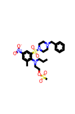 CCCN(CCOS(C)(=O)=O)c1c(C)cc([N+](=O)[O-])cc1S(=O)(=O)N1CCN(Cc2ccccc2)CC1